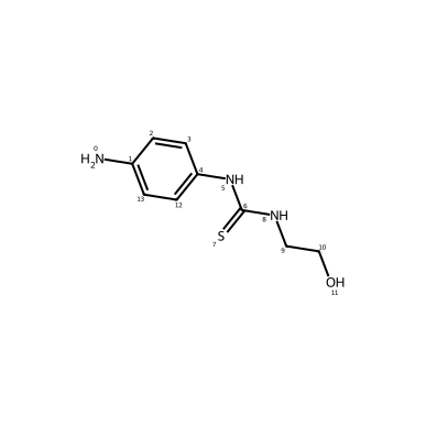 Nc1ccc(NC(=S)NCCO)cc1